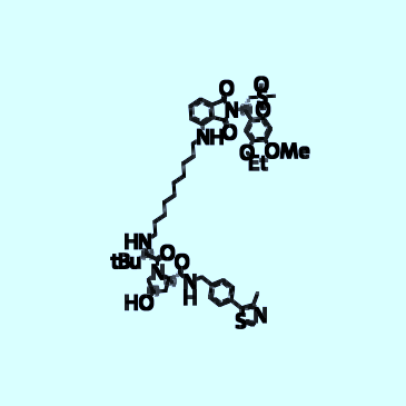 CCOc1cc([C@@H](CS(C)(=O)=O)N2C(=O)c3cccc(NCCCCCCCCCCN[C@H](C(=O)N4C[C@H](O)C[C@H]4C(=O)NCc4ccc(-c5scnc5C)cc4)C(C)(C)C)c3C2=O)ccc1OC